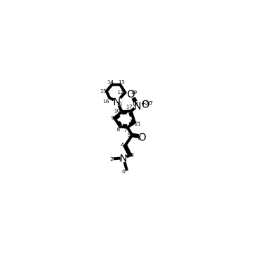 CN(C)C=CC(=O)c1ccc(N2CCCCC2)c([N+](=O)[O-])c1